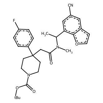 CC(c1cc(C#N)cc2ccoc12)N(C)C(=O)CC1(c2ccc(F)cc2)CCN(C(=O)OC(C)(C)C)CC1